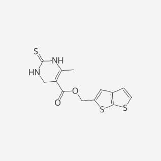 CC1=C(C(=O)OCc2cc3ccsc3s2)CNC(=S)N1